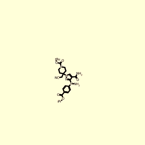 CC(C)OC(=O)c1ccc(N(N)c2nn(C3(CC#N)CCN(C(=O)OC(C)(C)C)CC3)cc2C(N)=O)cc1